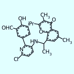 Cc1cc(C(C)Nc2ccc(Cl)nc2-c2ccc(O)c(C=O)c2)c2oc(C(C)C)c(C)c(=O)c2c1